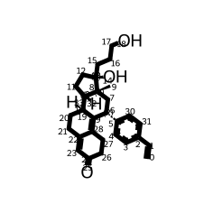 C=Cc1ccc([C@H]2C[C@]3(C)[C@@H](CC[C@]3(O)CCCO)[C@@H]3CCC4=CC(=O)CCC4=C32)cc1